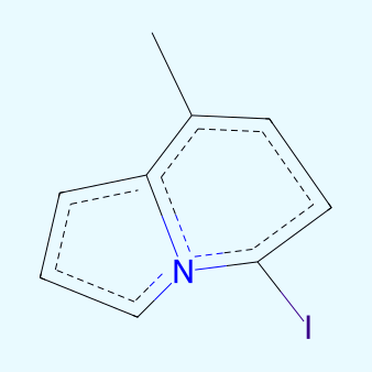 Cc1ccc(I)n2cccc12